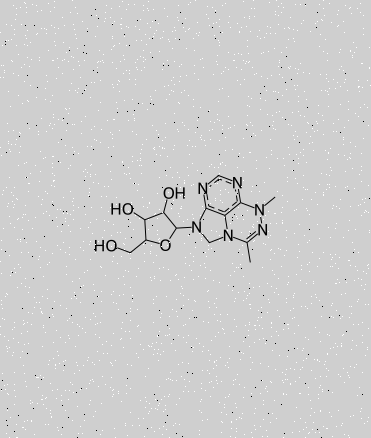 CC1=NN(C)c2ncnc3c2N1CN3C1OC(CO)C(O)C1O